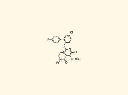 CCCCOc1c2n(c(Cc3ccc(Cl)cc3-c3ccc(F)cc3)nc1=O)CCN(C(C)C)C2=O